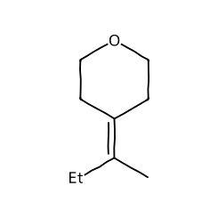 CCC(C)=C1CCOCC1